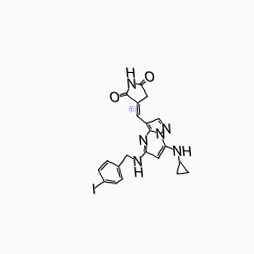 O=C1C/C(=C\c2cnn3c(NC4CC4)cc(NCc4ccc(I)cc4)nc23)C(=O)N1